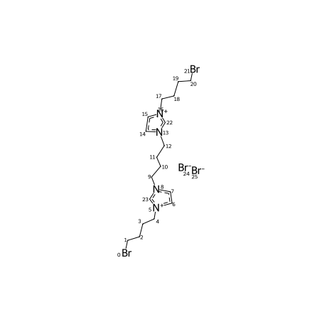 BrCCCC[n+]1ccn(CCCCn2cc[n+](CCCCBr)c2)c1.[Br-].[Br-]